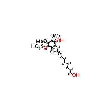 COc1c(O)c(CCCCCCCCCCO)c(C)c(OS(=O)(=O)O)c1OC